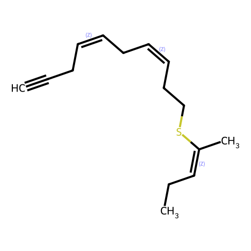 C#CC/C=C\C/C=C\CCS/C(C)=C\CC